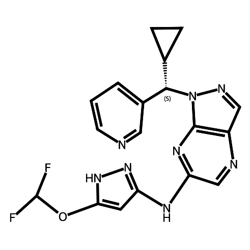 FC(F)Oc1cc(Nc2cnc3cnn([C@H](c4cccnc4)C4CC4)c3n2)n[nH]1